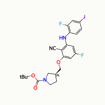 CC(C)(C)OC(=O)N1CC[C@H](COc2cc(F)cc(Nc3ccc(I)cc3F)c2C#N)C1